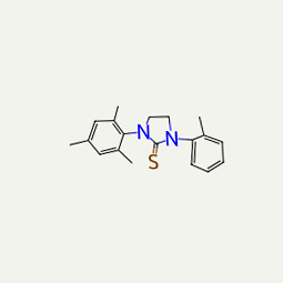 Cc1cc(C)c(N2CCN(c3ccccc3C)C2=S)c(C)c1